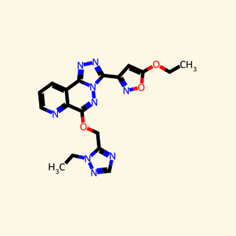 CCOc1cc(-c2nnc3c4cccnc4c(OCc4ncnn4CC)nn23)no1